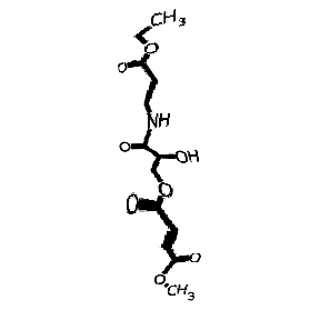 CCOC(=O)CCNC(=O)C(O)COC(=O)/C=C/C(=O)OC